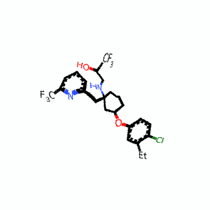 CCc1cc(OC2CCCC(Cc3cccc(C(F)(F)F)n3)(NCC(O)C(F)(F)F)C2)ccc1Cl